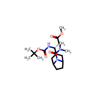 COC(=O)C[C@@H](NC(=O)OC(C)(C)C)C1CC2CCC(C1)N2C(=O)N(C)C